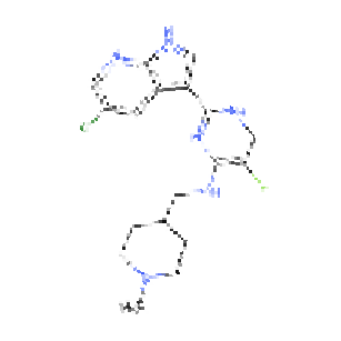 CN1CCC(CNC2=C(F)CNC(c3c[nH]c4ncc(Cl)cc34)=N2)CC1